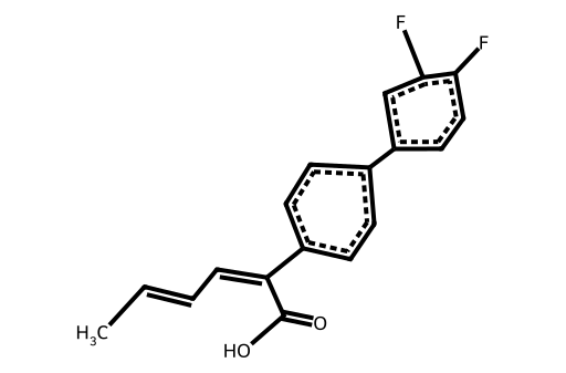 CC=CC=C(C(=O)O)c1ccc(-c2ccc(F)c(F)c2)cc1